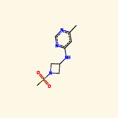 Cc1cc(NC2CN(S(C)(=O)=O)C2)ncn1